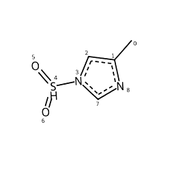 Cc1cn([SH](=O)=O)cn1